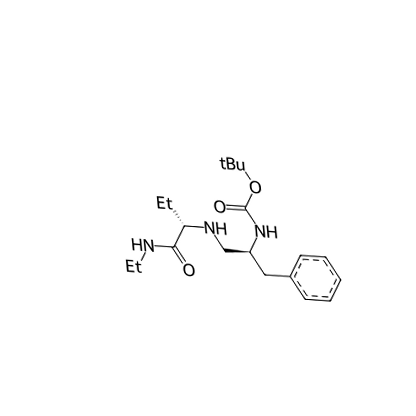 CCNC(=O)[C@H](CC)NC[C@H](Cc1ccccc1)NC(=O)OC(C)(C)C